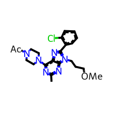 COCCCn1c(-c2ccccc2Cl)nc2c(N3CCN(C(C)=O)CC3)nc(C)nc21